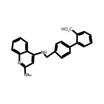 CCCCc1cc(NCc2ccc(-c3ccccc3C(=O)O)cc2)c2ccccc2n1